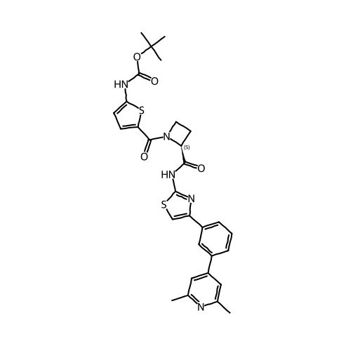 Cc1cc(-c2cccc(-c3csc(NC(=O)[C@@H]4CCN4C(=O)c4ccc(NC(=O)OC(C)(C)C)s4)n3)c2)cc(C)n1